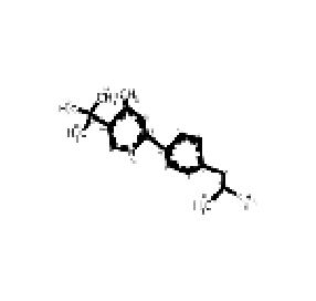 Cc1cc(-c2ccc(CC(C)C)cc2)ncc1C(C)(C)C